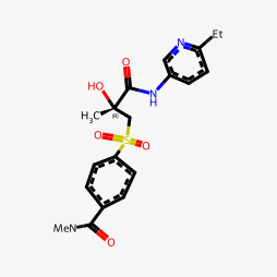 CCc1ccc(NC(=O)[C@@](C)(O)CS(=O)(=O)c2ccc(C(=O)NC)cc2)cn1